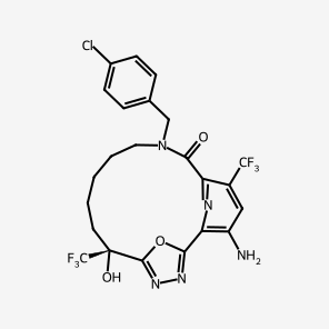 Nc1cc(C(F)(F)F)c2nc1-c1nnc(o1)[C@@](O)(C(F)(F)F)CCCCCN(Cc1ccc(Cl)cc1)C2=O